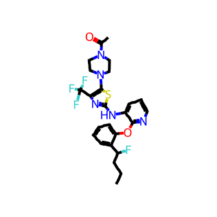 CCCC(F)c1ccccc1Oc1ncccc1Nc1nc(C(F)(F)F)c(N2CCN(C(C)=O)CC2)s1